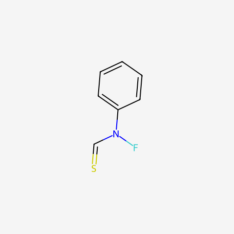 FN(C=S)c1ccccc1